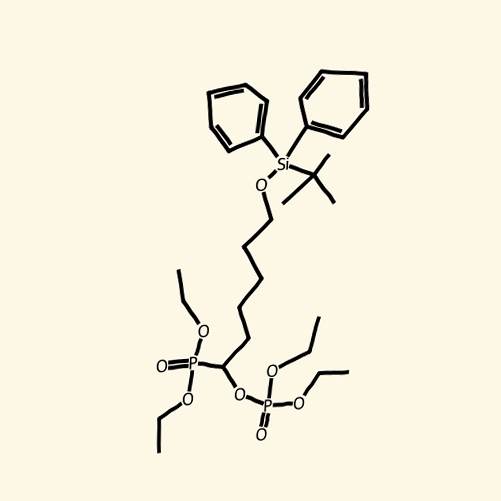 CCOP(=O)(OCC)OC(CCCCCO[Si](c1ccccc1)(c1ccccc1)C(C)(C)C)P(=O)(OCC)OCC